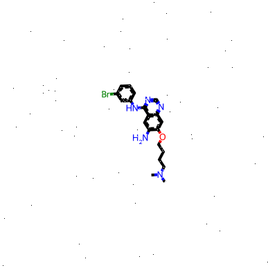 CN(C)CCCCOc1cc2ncnc(Nc3cccc(Br)c3)c2cc1N